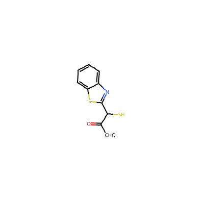 O=[C]C(=O)C(S)c1nc2ccccc2s1